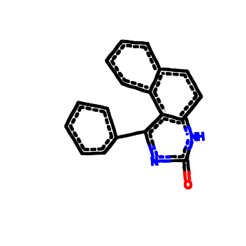 O=c1nc(-c2ccccc2)c2c(ccc3ccccc32)[nH]1